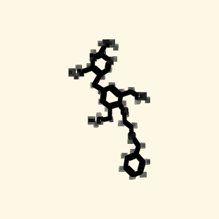 CCc1cc(Cc2cnc(N)nc2N)cc(CC)c1OCCOCc1ccccc1